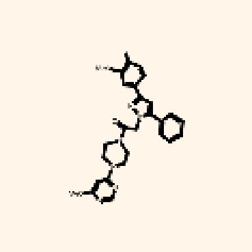 COc1cc(N2CCN(C(=O)Cn3nc(-c4ccc(F)c(OC)c4)cc3-c3ccccc3)CC2)ncn1